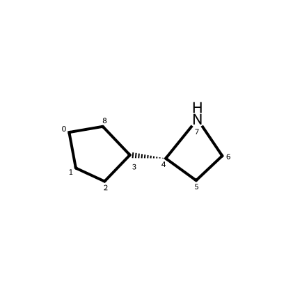 C1CCC([C@H]2CCN2)C1